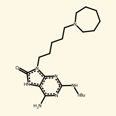 CCCCNc1nc(N)c2[nH]c(=O)n(CCCCCN3CCCCCC3)c2n1